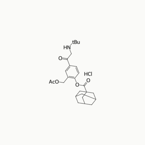 CC(=O)OCc1cc(C(=O)CNC(C)(C)C)ccc1OC(=O)C12CC3CC(CC(C3)C1)C2.Cl